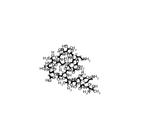 CC[C@H](C)[C@H](NC(=O)[C@H](CO)NC(=O)[C@@H](NC(=O)[C@H](CCCCN)NC(=O)[C@H](CC(N)=O)NC(=O)[C@H](CC(N)=O)NC(=O)[C@H](CCC(=O)O)NC(=O)[C@@H](NC(=O)[C@H](CO)NC(=O)[C@H](CC(C)C)NC(=O)[C@H](CCCCN)NC(=O)[C@@H](N)[C@@H](C)O)C(C)C)[C@@H](C)O)C(=O)N[C@H](C(=O)N[C@@H](CO)C(=O)N[C@@H](CC(=O)O)C(=O)O)[C@@H](C)O